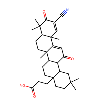 CC1(C)CCC2(CCC(=O)O)CCC3C(C(=O)C=C4C5(C)C=C(C#N)C(=O)C(C)(C)C5CCC43C)C2C1